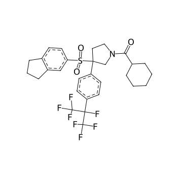 O=C(C1CCCCC1)N1CCC(c2ccc(C(F)(C(F)(F)F)C(F)(F)F)cc2)(S(=O)(=O)c2ccc3c(c2)CCC3)C1